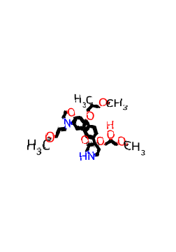 COCCCN1CCOc2ccc(CO[C@H]3CNCC[C@]3(OCC(O)COC)c3ccc(COCC(C)COC)cc3)cc21